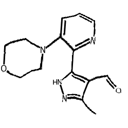 Cc1n[nH]c(-c2ncccc2N2CCOCC2)c1C=O